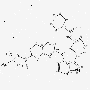 CC(C)(C)OC(=O)N1CCc2ccc(Oc3ccnc4[nH]cc(-c5ccnc(NC(=O)C6CCOCC6)c5)c34)cc2C1